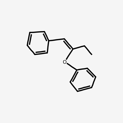 CCC(=Cc1ccccc1)Oc1ccccc1